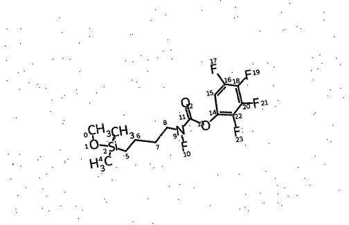 CO[Si](C)(C)CCCCN(F)C(=O)Oc1cc(F)c(F)c(F)c1F